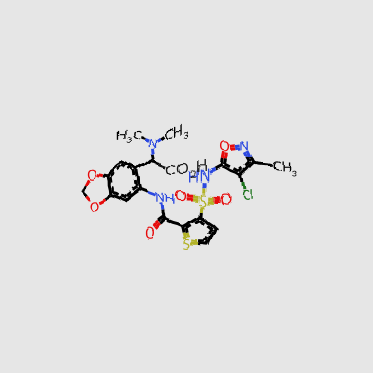 Cc1noc(NS(=O)(=O)c2ccsc2C(=O)Nc2cc3c(cc2C(C(=O)O)N(C)C)OCO3)c1Cl